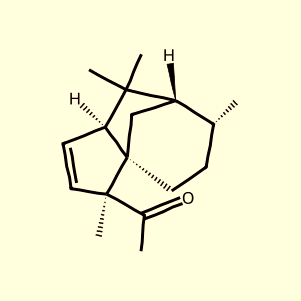 CC(=O)[C@@]1(C)C=C[C@H]2C(C)(C)[C@H]3C[C@]21CC[C@H]3C